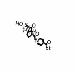 CCC(=O)c1cc[n+](CC(=O)N2CC[C@@H]3[C@H]2C(=O)N3S(=O)(=O)O)cc1